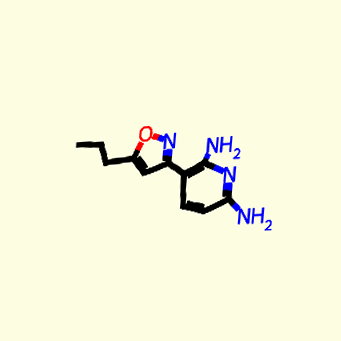 CCCc1cc(-c2ccc(N)nc2N)no1